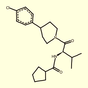 CC(C)[C@@H](NC(=O)C1CCCC1)C(=O)N1CCC(c2ccc(Cl)cc2)CC1